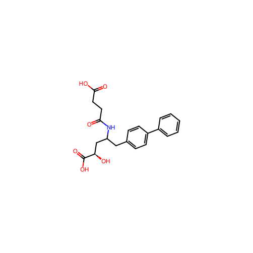 O=C(O)CCC(=O)NC(Cc1ccc(-c2ccccc2)cc1)C[C@@H](O)C(=O)O